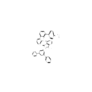 N#Cc1ccc(-c2cccc3c4ccccc4n(-c4cccc5c4C(=O)N(c4cc(-c6ccccc6)cc(-c6ccccc6)c4)C5=O)c23)cc1